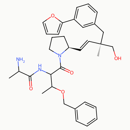 CC(N)C(=O)NC(C(=O)N1CCC[C@H]1/C=C/[C@](C)(CO)Cc1cccc(-c2ccco2)c1)C(C)OCc1ccccc1